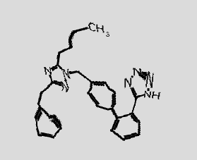 CCCCc1nc(Cc2ccccc2)nn1Cc1ccc(-c2ccccc2-c2nnn[nH]2)cc1